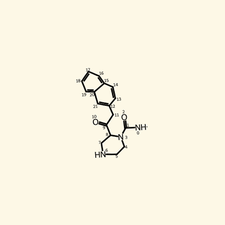 [NH]C(=O)N1CCNCC1C(=O)Cc1ccc2ccccc2c1